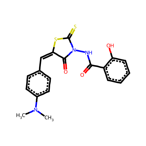 CN(C)c1ccc(C=C2SC(=S)N(NC(=O)c3ccccc3O)C2=O)cc1